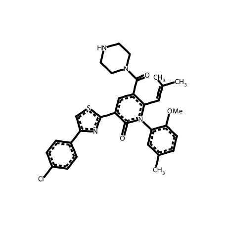 COc1ccc(C)cc1-n1c(C=C(C)C)c(C(=O)N2CCNCC2)cc(-c2nc(-c3ccc(Cl)cc3)cs2)c1=O